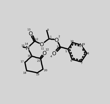 CC(OC(=O)c1cccnc1)OC(=O)N(C)C1CCCCC1=O